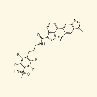 Cn1cnc2cc(-c3cccn4c(C(=O)NCCCc5c(F)c(F)c(S(C)(=N)=O)c(F)c5F)ccc34)c(C(F)(F)F)cc21